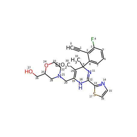 C#Cc1c(F)cccc1C1(C)N=C(c2nccs2)NC(CN2CCOC(CO)C2)=C1C(=O)OCC